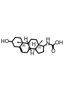 C[C@]12CCC(O)CC1=CC[C@@H]1[C@H]2CC[C@]2(C)C(NC(=O)O)CC[C@@H]12